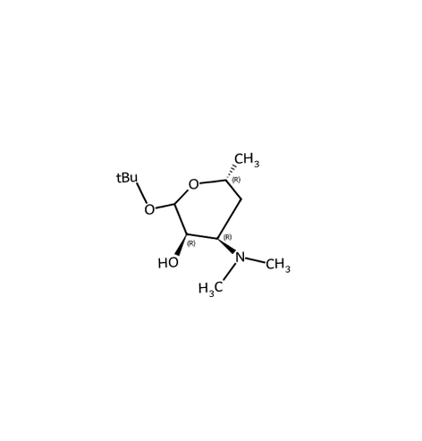 C[C@@H]1C[C@@H](N(C)C)[C@@H](O)C(OC(C)(C)C)O1